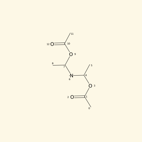 CC(=O)OC(C)[N]C(C)OC(C)=O